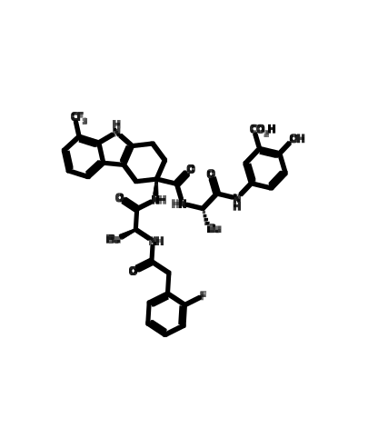 CCC(C)[C@H](NC(=O)Cc1ccccc1F)C(=O)N[C@]1(C(=O)N[C@H](C(=O)Nc2ccc(O)c(C(=O)O)c2)C(C)CC)CCc2[nH]c3c(C(F)(F)F)cccc3c2C1